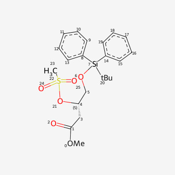 COC(=O)C[C@@H](CO[Si](c1ccccc1)(c1ccccc1)C(C)(C)C)OS(C)(=O)=O